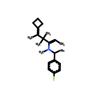 C/C=C(\N(C)C(CCCC)c1ccc(F)cc1)C(C)(C)C(C)=C1CCC1